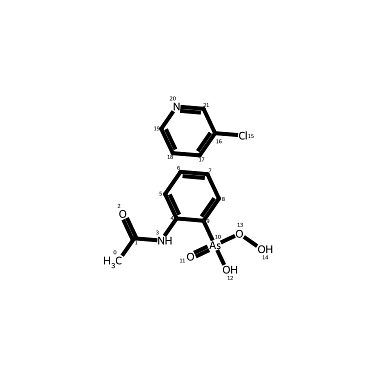 CC(=O)Nc1ccccc1[As](=O)(O)OO.Clc1cccnc1